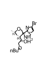 CCCCOC[C@@H](O)[C@@H]1C[C@H](C)OC[C@@]1(N)c1nc(Br)cs1